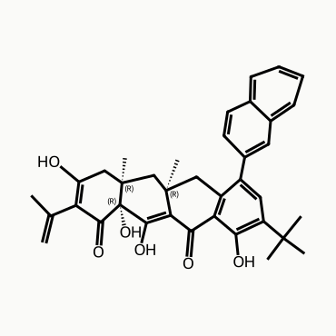 C=C(C)C1=C(O)C[C@@]2(C)C[C@@]3(C)Cc4c(-c5ccc6ccccc6c5)cc(C(C)(C)C)c(O)c4C(=O)C3=C(O)[C@@]2(O)C1=O